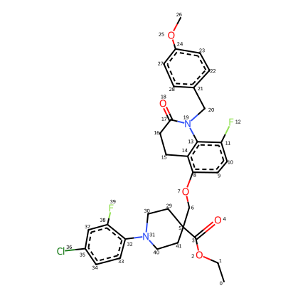 CCOC(=O)C1(COc2ccc(F)c3c2CCC(=O)N3Cc2ccc(OC)cc2)CCN(c2ccc(Cl)cc2F)CC1